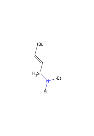 CCN(CC)[SiH2]C=CC(C)(C)C